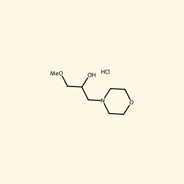 COCC(O)CN1CCOCC1.Cl